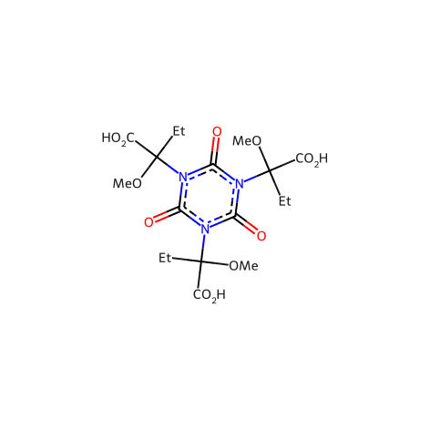 CCC(OC)(C(=O)O)n1c(=O)n(C(CC)(OC)C(=O)O)c(=O)n(C(CC)(OC)C(=O)O)c1=O